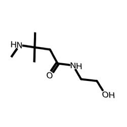 CNC(C)(C)CC(=O)NCCO